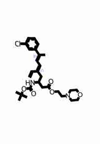 C=C/C(=C\C=C(/C)c1cccc(Cl)c1)CC(CC(=O)OCCN1CCOCC1)NC(=O)OC(C)(C)C